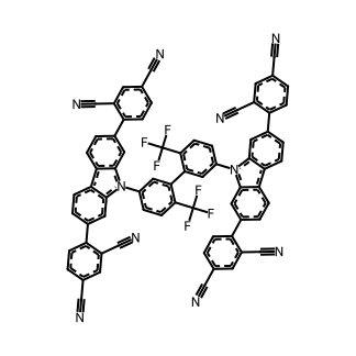 N#Cc1ccc(-c2ccc3c4ccc(-c5ccc(C#N)cc5C#N)cc4n(-c4ccc(C(F)(F)F)c(-c5cc(-n6c7cc(-c8ccc(C#N)cc8C#N)ccc7c7ccc(-c8ccc(C#N)cc8C#N)cc76)ccc5C(F)(F)F)c4)c3c2)c(C#N)c1